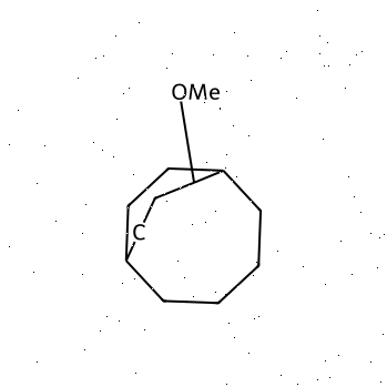 COC1CCC2CCCCC1CC2